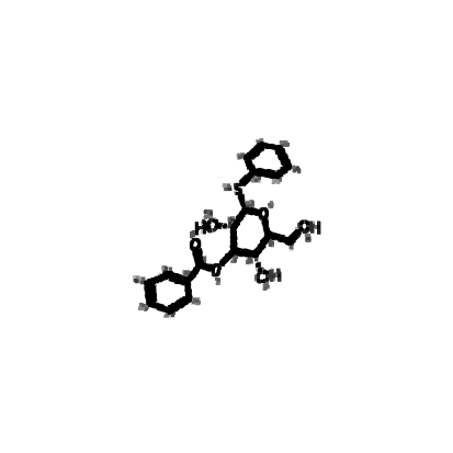 O=C(OC1[C@@H](O)C(CO)O[C@H](Sc2ccccc2)[C@H]1O)c1ccccc1